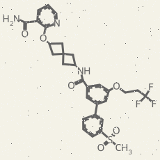 CS(=O)(=O)c1cccc(-c2cc(OCCC(F)(F)F)cc(C(=O)N[C@H]3CC4(C3)C[C@H](Oc3ncccc3C(N)=O)C4)c2)c1